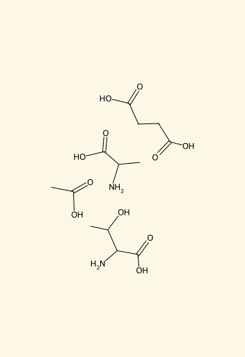 CC(=O)O.CC(N)C(=O)O.CC(O)C(N)C(=O)O.O=C(O)CCC(=O)O